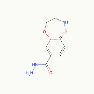 NNC(=O)C1=CC2OCCNB=C2C=C1